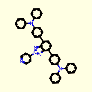 c1ccc(N(c2ccccc2)c2ccc(-c3ccc(-c4ccc(N(c5ccccc5)c5ccccc5)cc4)c4nn(-c5ccncc5)nc34)cc2)cc1